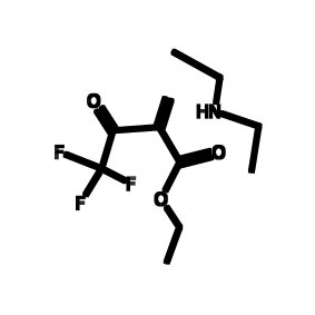 C=C(C(=O)OCC)C(=O)C(F)(F)F.CCNCC